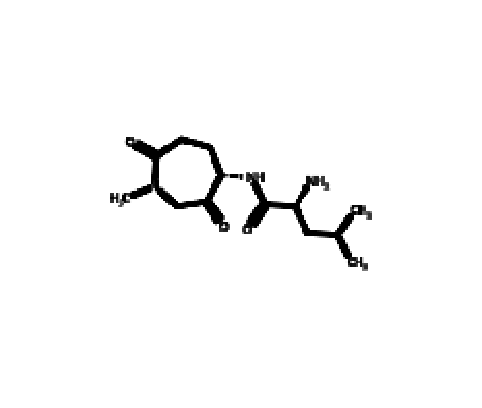 CC(C)C[C@H](N)C(=O)N[C@H]1CCC(=O)N(C)CC1=O